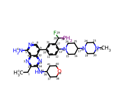 CCc1nc2c(N)ncc(-c3ccc(N4CCC(N5CCN(C)CC5)CC4)c(C(F)P)c3)c2nc1NC1CCOCC1